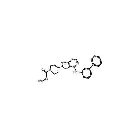 CC(C)(C)OC(=O)N1CC=C(C2Cc3c(Nc4cccc(-c5ccccc5)c4)ncnc3N2)CC1